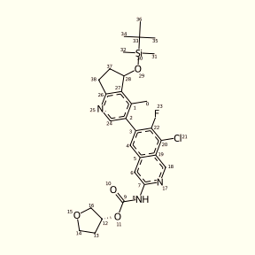 Cc1c(-c2cc3cc(NC(=O)O[C@@H]4CCOC4)ncc3c(Cl)c2F)cnc2c1C(O[Si](C)(C)C(C)(C)C)CC2